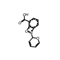 O=C(O)c1cccc2c1on2C1C=CC=CO1